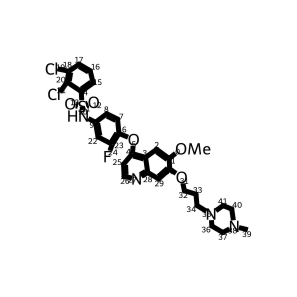 COc1cc2c(Oc3ccc(NS(=O)(=O)c4cccc(Cl)c4Cl)cc3F)ccnc2cc1OCCCN1CCN(C)CC1